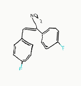 O=[N+]([O-])/C(=C/c1ccc(F)cc1)c1ccc(F)cc1